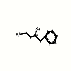 NCC[C@@H](O)Cc1ccccc1